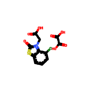 O=C(O)C(=O)O.O=C(O)Cn1c(=O)sc2cccc(Cl)c21